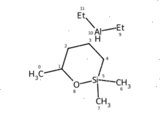 CC1CCC[Si](C)(C)O1.C[CH2][AlH][CH2]C